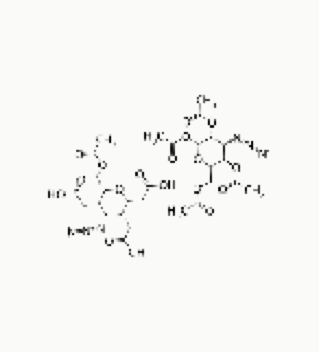 CC(=O)OC[C@@H]1OC(CC(=O)O)[C@H](CC(=O)O)[C@H](N=[N+]=[N-])[C@H]1CC(=O)O.CC(=O)OC[C@H]1OC(OC(C)=O)[C@H](OC(C)=O)[C@@H](N=[N+]=[N-])[C@H]1OC(C)=O